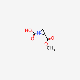 COC(=O)[C@@H]1CN1C(=O)O